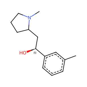 Cc1cccc([C@@H](O)CC2CCCN2C)c1